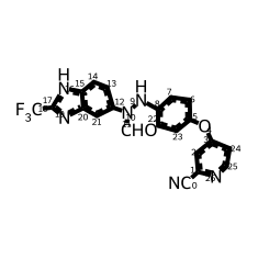 N#Cc1cc(Oc2ccc(NN(C=O)c3ccc4[nH]c(C(F)(F)F)nc4c3)cc2)ccn1